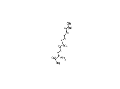 N[C@@H](CCOC(=O)CCCCCC(=O)O)C(=O)O